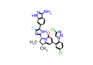 C[C@@H]1[C@@H](c2nc(F)c(-c3ccc4c(N)n[nH]c4c3)[nH]2)n2c(cc(-c3cc(Cl)ccc3-n3cc(Cl)nn3)cc2=O)[C@@H]1C